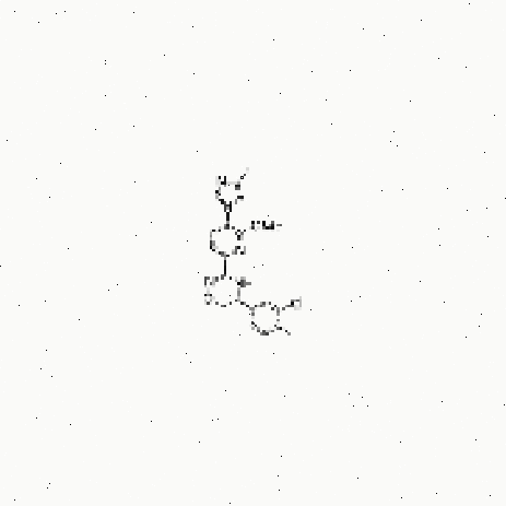 COc1nc(C2=NOCC(c3ccc(C)c(Cl)c3)N2)ccc1-n1cnc(C)c1